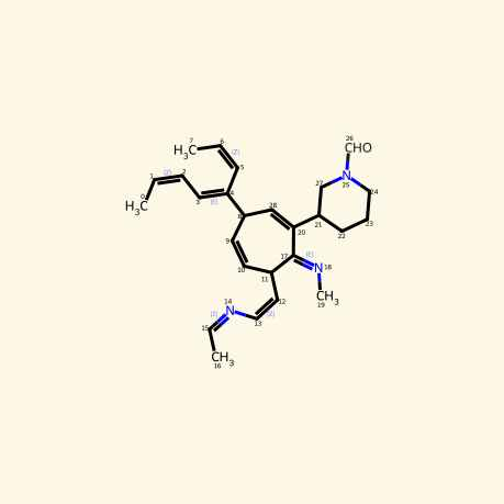 C\C=C/C=C(\C=C/C)C1C=CC(/C=C\N=C/C)/C(=N\C)C(C2CCCN(C=O)C2)=C1